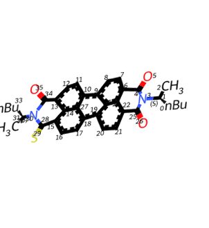 CCCC[C@H](C)N1C(=O)c2ccc3c4ccc5c6c(ccc(c7ccc(c2c37)C1=O)c64)C(=S)N([C@@H](C)CCCC)C5=O